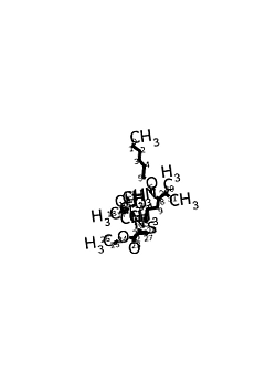 CCCCCCONC(CC(O[Si](C)(C)C(C)(C)C)c1nc(C(=O)OCC)cs1)C(C)C